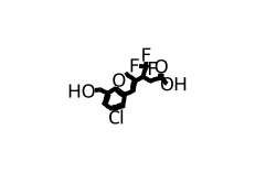 O=C(O)CC(C1=Cc2cc(Cl)cc(CO)c2OC1)C(F)(F)F